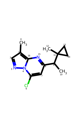 Cc1cnn2c(Cl)cc(C(C)C3(C)CC3)nc12